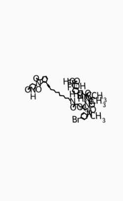 CN(C(=O)[C@@H]1C[C@@H](OCC(=O)NCCCCCCCCCC#Cc2cccc3c2CN(C2CCC(=O)NC2=O)C3=O)CN1C(=O)C(NC(=O)c1cc2cc(C(F)(F)P(=O)(O)O)ccc2s1)C(C)(C)C)c1ccc(Br)cc1